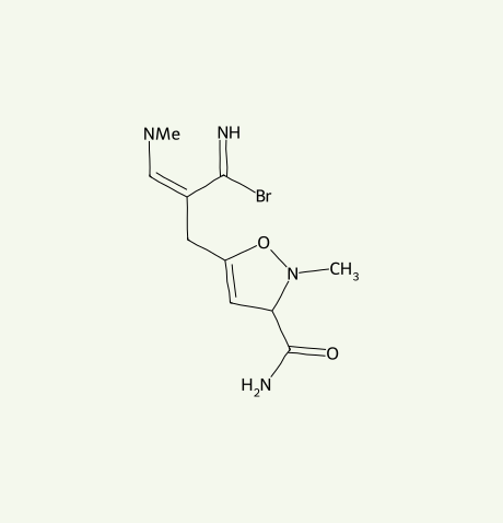 CN/C=C(/CC1=CC(C(N)=O)N(C)O1)C(=N)Br